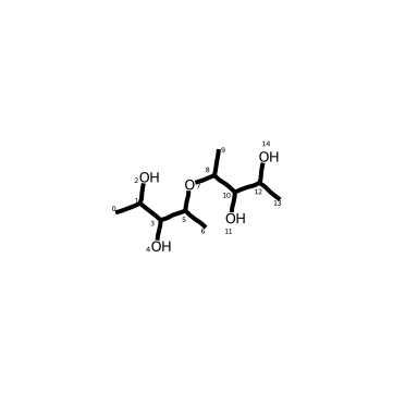 CC(O)C(O)C(C)OC(C)C(O)C(C)O